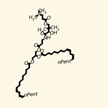 CCCCC/C=C\C/C=C\CCCCCCCC(=O)OCC(COC(=O)CCNC(=O)[C@H](O)C(C)(C)COC(=O)CCN(C)C)OC(=O)CCCCCCC/C=C\C/C=C\CCCCC